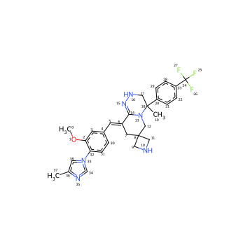 COc1cc(/C=C2\CC3(CNC3)CN3C2=NNCC3(C)c2ccc(C(F)(F)F)cc2)ccc1-n1cnc(C)c1